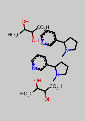 CN1CCCC1c1cccnc1.CN1CCCC1c1cccnc1.O=C(O)C(O)C(O)C(=O)O.O=C(O)C(O)C(O)C(=O)O